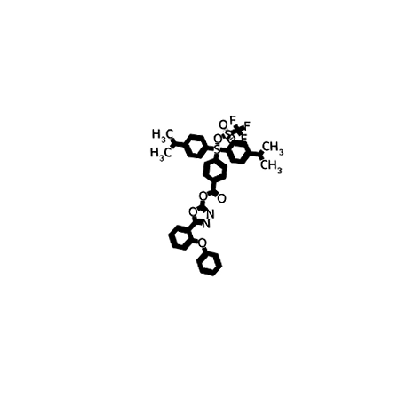 CC(C)c1ccc(S(OS(=O)(=O)C(F)(F)F)(c2ccc(C(=O)Oc3nnc(-c4ccccc4Oc4ccccc4)o3)cc2)c2ccc(C(C)C)cc2)cc1